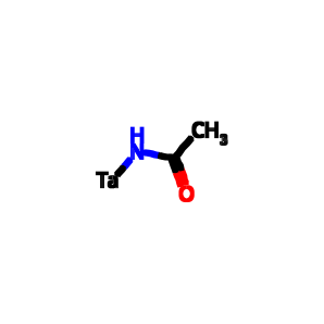 CC(=O)[NH][Ta]